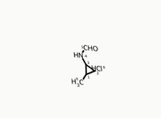 CC1CC1NC=O.Cl